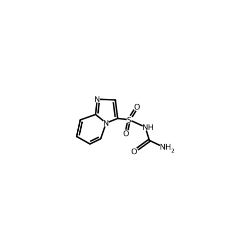 NC(=O)NS(=O)(=O)c1cnc2ccccn12